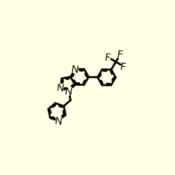 FC(F)(F)c1cccc(-c2cnc3cnn(Cc4cccnc4)c3c2)c1